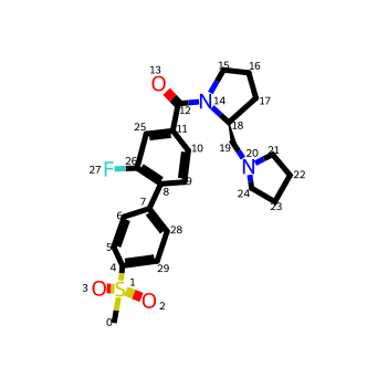 CS(=O)(=O)c1ccc(-c2ccc(C(=O)N3CCC[C@H]3CN3CCCC3)cc2F)cc1